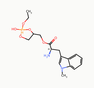 CCO[PH]1(O)OCC(COC(=O)[C@H](N)Cc2cn(C)c3ccccc23)O1